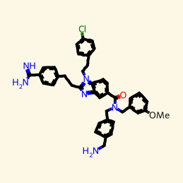 COc1cccc(CN(Cc2ccc(CN)cc2)C(=O)c2ccc3c(c2)nc(CCc2ccc(C(=N)N)cc2)n3CCc2ccc(Cl)cc2)c1